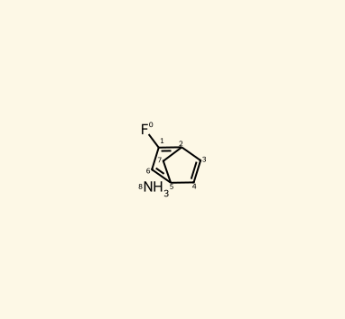 FC1=C2C=CC(=C1)C2.N